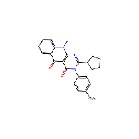 COc1ccc(-n2c(C3CCCC3)nc3c(c(=O)c4c(n3I)=CCCC=4)c2=O)cc1